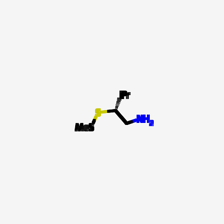 CSS[C@@H](CN)C(C)C